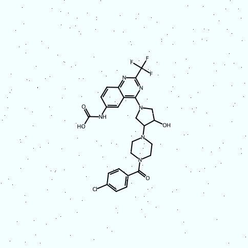 O=C(O)Nc1ccc2nc(C(F)(F)F)nc(N3CC(O)C(N4CCN(C(=O)c5ccc(Cl)cc5)CC4)C3)c2c1